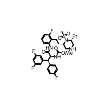 CC[C@@H]1CNC[C@H](CCc2c(F)cccc2NC(=O)[C@@H](NC(=O)OC)[C@@H](c2ccc(F)cc2)c2cc(F)cc(F)c2)N1S(C)(=O)=O